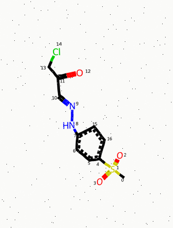 CS(=O)(=O)c1ccc(NN=CC(=O)CCl)cc1